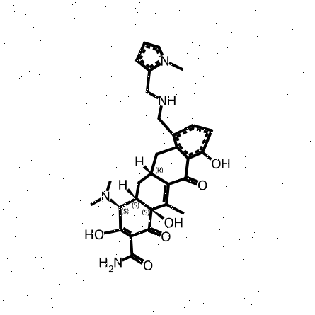 CC1=C2C(=O)c3c(O)ccc(CNCc4cccn4C)c3C[C@H]2C[C@H]2[C@H](N(C)C)C(O)=C(C(N)=O)C(=O)[C@@]12O